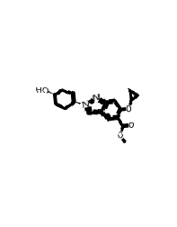 COC(=O)c1cc2cn([C@H]3CC[C@@H](O)CC3)nc2cc1OC1CC1